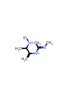 C=C(N/C(C)=N/C)C(C)NCC